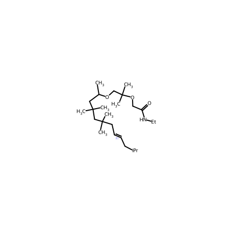 CCNC(=O)COC(C)(C)COC(C)CC(C)(C)CC(C)(C)C/C=C/CC(C)C